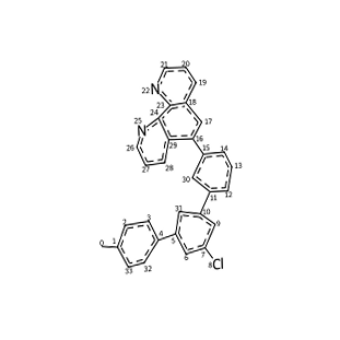 Cc1ccc(-c2cc(Cl)cc(-c3cccc(-c4cc5cccnc5c5ncccc45)c3)c2)cc1